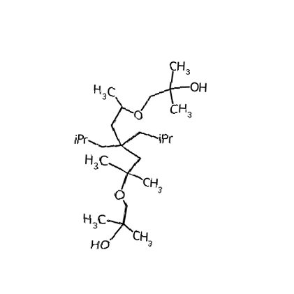 CC(C)CC(CC(C)C)(CC(C)OCC(C)(C)O)CC(C)(C)OCC(C)(C)O